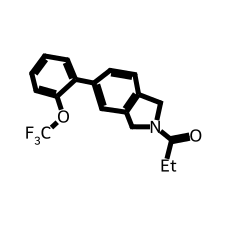 CCC(=O)N1Cc2ccc(-c3ccccc3OC(F)(F)F)cc2C1